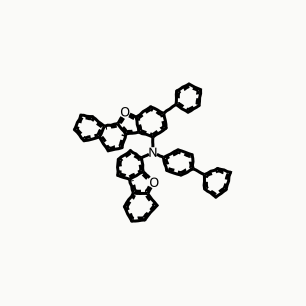 c1ccc(-c2ccc(N(c3cccc4c3oc3ccccc34)c3cc(-c4ccccc4)cc4oc5c6ccccc6ccc5c34)cc2)cc1